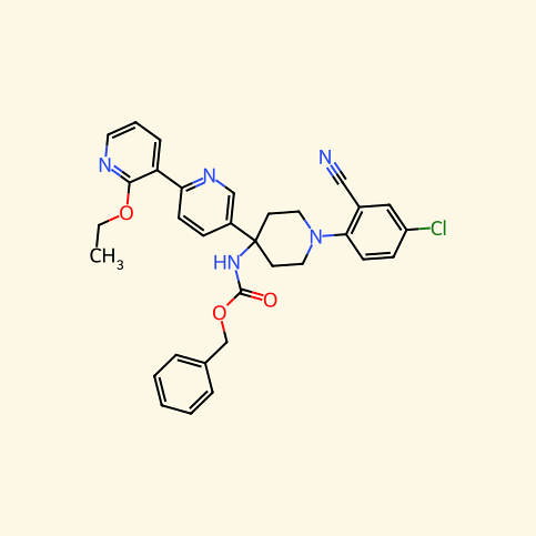 CCOc1ncccc1-c1ccc(C2(NC(=O)OCc3ccccc3)CCN(c3ccc(Cl)cc3C#N)CC2)cn1